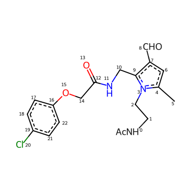 CC(=O)NCCn1c(C)cc(C=O)c1CNC(=O)COc1ccc(Cl)cc1